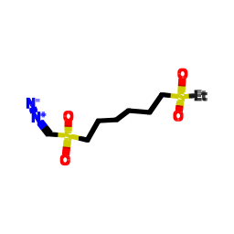 CCS(=O)(=O)CCCCCCS(=O)(=O)C=[N+]=[N-]